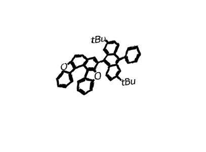 CC(C)(C)c1ccc2c(-c3cc4ccc5oc6ccccc6c5c4c4c3oc3ccccc34)c3cc(C(C)(C)C)ccc3c(-c3ccccc3)c2c1